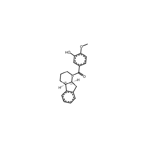 COc1ccc(C(=O)N2CCC[C@@H]3c4ccccc4C[C@@H]32)cc1O